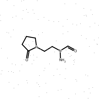 NN(C=O)CCN1CCCC1=O